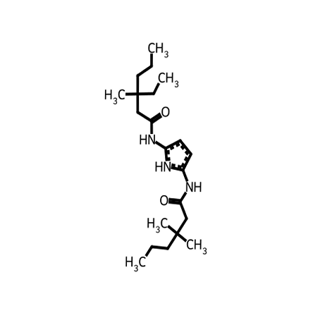 CCCC(C)(C)CC(=O)Nc1ccc(NC(=O)CC(C)(CC)CCC)[nH]1